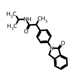 CC(C)NC(=O)C(C)c1ccc(N2Cc3ccccc3C2=O)cc1